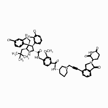 COc1cc(C(=O)N[C@H]2CCCN(CC#Cc3cccc4c3CN(C3CCC(=O)NC3=O)C4=O)C2)ccc1NC(=O)[C@@H]1N[C@@H](CC(C)(C)C)[C@@]2(CNc3cc(Cl)ccc32)[C@H]1c1cccc(Cl)c1F